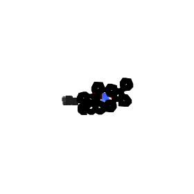 CC(C)(C)c1ccc2c(c1)C1(c3ccccc3Cc3ccccc31)c1cc(N(c3ccccc3-c3ccccc3)c3ccccc3-c3ccc(-c4ccccc4)c4ccccc34)ccc1-2